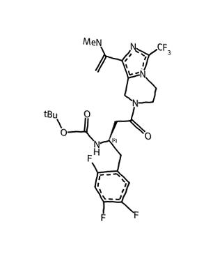 C=C(NC)c1nc(C(F)(F)F)n2c1CN(C(=O)C[C@@H](Cc1cc(F)c(F)cc1F)NC(=O)OC(C)(C)C)CC2